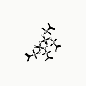 C=C(C)[Si](C)(C)OP(=O)(O[Si](C)(C)C(=C)C)OP(=O)(O[Si](C)(C)C(=C)C)O[Si](C)(C)C(=C)C